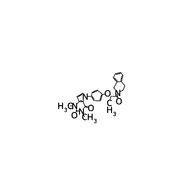 CC(Oc1ccc(-n2ccc3c2c(=O)n(C)c(=O)n3C)cc1)C(=O)N1CCc2ccccc2C1